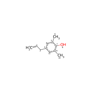 C=CCc1cc(C)c(O)c(C)c1